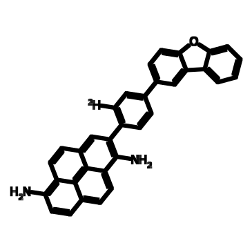 [2H]c1cc(-c2ccc3oc4ccccc4c3c2)ccc1-c1cc2ccc3c(N)ccc4ccc(c1N)c2c43